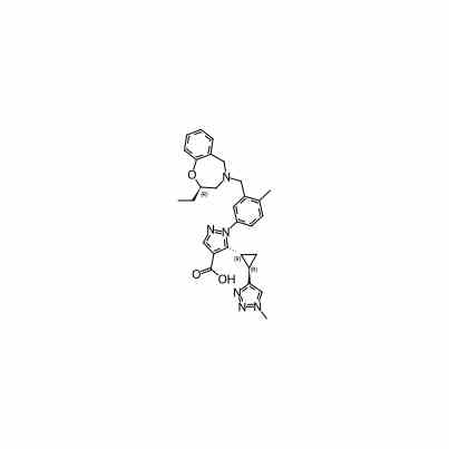 CC[C@@H]1CN(Cc2cc(-n3ncc(C(=O)O)c3[C@@H]3C[C@H]3c3cn(C)nn3)ccc2C)Cc2ccccc2O1